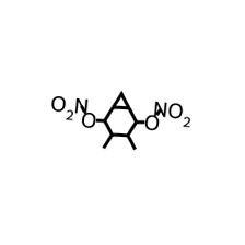 CC1C(C)C(O[N+](=O)[O-])C2CC2C1O[N+](=O)[O-]